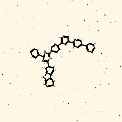 c1ccc(-c2ccc(-c3cccc(-c4ccc(-c5nc(-c6ccccc6)nc(-c6ccc7c(c6)oc6ccccc67)n5)cc4)c3)cc2)cc1